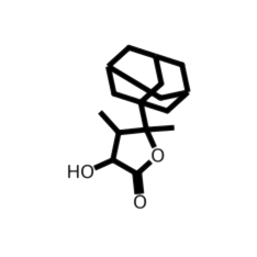 CC1C(O)C(=O)OC1(C)C12CC3CC(CC(C3)C1)C2